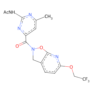 CC(=O)Nc1nc(C)cc(C(=O)N2Cc3ccc(OCC(F)(F)F)nc3O2)n1